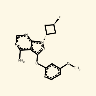 COc1ccnc(Oc2nn([C@H]3C[C@H](F)C3)c3ncnc(N)c23)c1